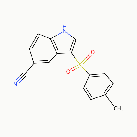 Cc1ccc(S(=O)(=O)c2c[nH]c3ccc(C#N)cc23)cc1